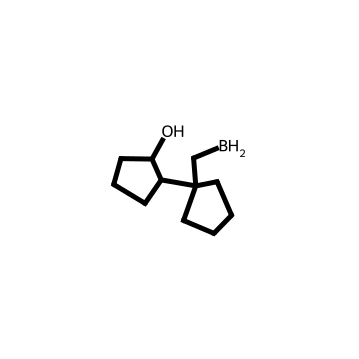 BCC1(C2CCCC2O)CCCC1